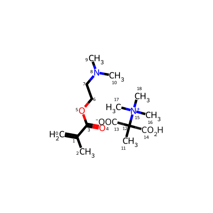 C=C(C)C(=O)OCCN(C)C.CC(C(=O)[O-])(C(=O)O)[N+](C)(C)C